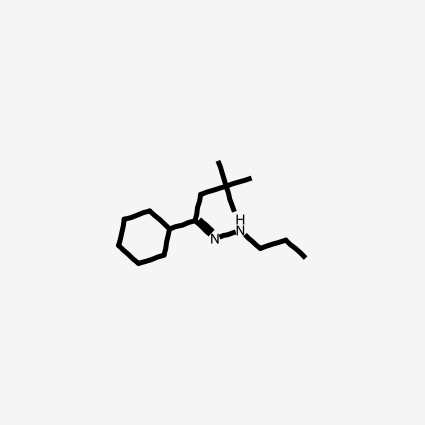 CCCN/N=C(\CC(C)(C)C)C1CCCCC1